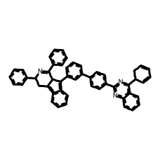 C1=CCC(c2nc(-c3ccc(-c4cccc(C5=c6ccccc6=C6CC(c7ccccc7)N=C(c7ccccc7)C65)c4)cc3)nc3ccccc23)C=C1